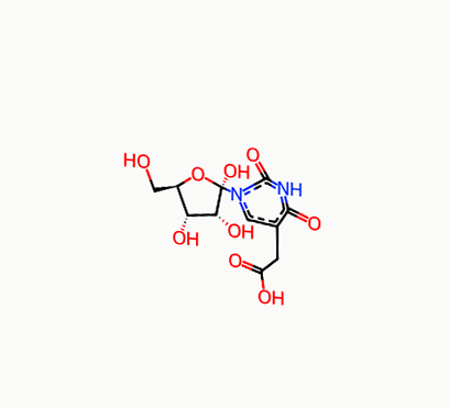 O=C(O)Cc1cn([C@]2(O)O[C@H](CO)[C@@H](O)[C@H]2O)c(=O)[nH]c1=O